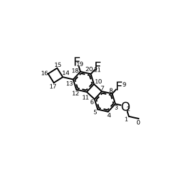 CCOc1ccc2c(c1F)-c1c-2cc(C2CCC2)c(F)c1F